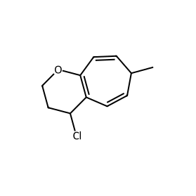 CC1C=CC2=C(C=C1)C(Cl)CCO2